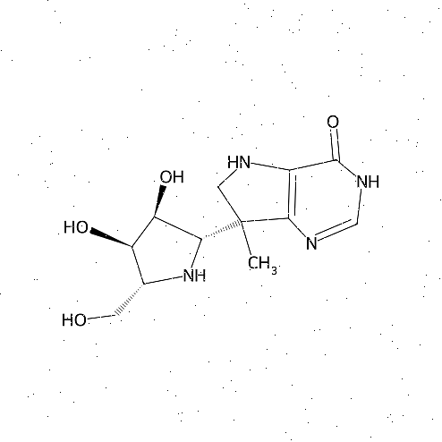 CC1([C@@H]2N[C@H](CO)[C@@H](O)[C@H]2O)CNc2c1nc[nH]c2=O